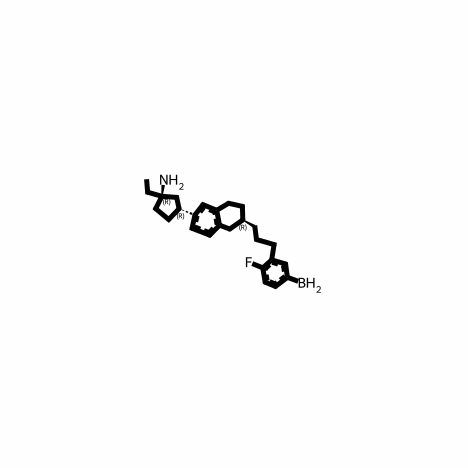 Bc1ccc(F)c(CCC[C@@H]2CCc3cc([C@@H]4CC[C@](N)(CC)C4)ccc3C2)c1